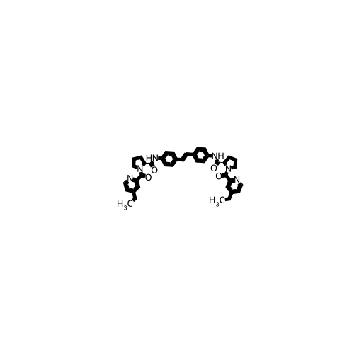 CCc1ccnc(C(=O)N2CCC[C@H]2C(=O)Nc2ccc(/C=C/c3ccc(NC(=O)[C@@H]4CCCN4C(=O)c4cc(CC)ccn4)cc3)cc2)c1